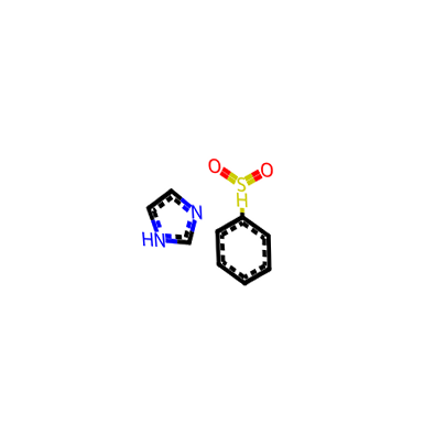 O=[SH](=O)c1ccccc1.c1c[nH]cn1